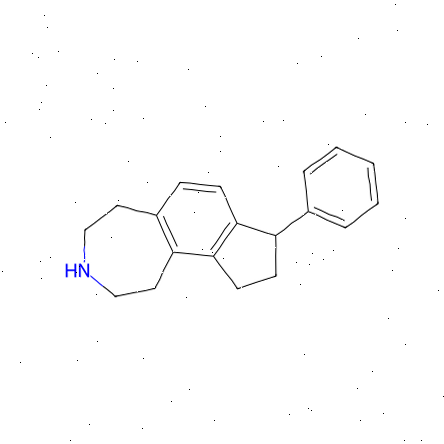 c1ccc(C2CCc3c2ccc2c3CCNCC2)cc1